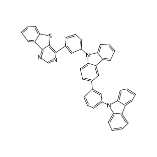 c1cc(-c2ccc3c(c2)c2ccccc2n3-c2cccc(-c3ncnc4c3sc3ccccc34)c2)cc(-n2c3ccccc3c3ccccc32)c1